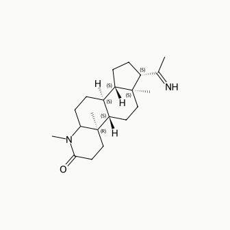 CC(=N)[C@H]1CC[C@H]2[C@@H]3CCC4N(C)C(=O)CC[C@]4(C)[C@H]3CC[C@]12C